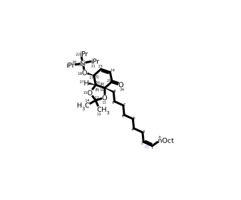 CCCCCCCC/C=C\CCCCCCC[C@@]12OC(C)(C)O[C@@H]1[C@@H](O[Si](C(C)C)(C(C)C)C(C)C)C=CC2=O